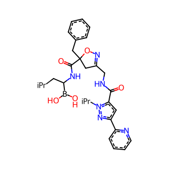 CC(C)CC(NC(=O)C1(Cc2ccccc2)CC(CNC(=O)c2cc(-c3ccccn3)nn2C(C)C)=NO1)B(O)O